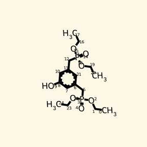 CCOP(=O)(Cc1cc(O)cc(CP(=O)(OCC)OCC)c1)OCC